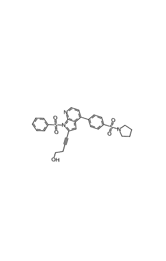 O=S(=O)(c1ccc(-c2ccnc3c2cc(C#CCCO)n3S(=O)(=O)c2ccccc2)cc1)N1CCCC1